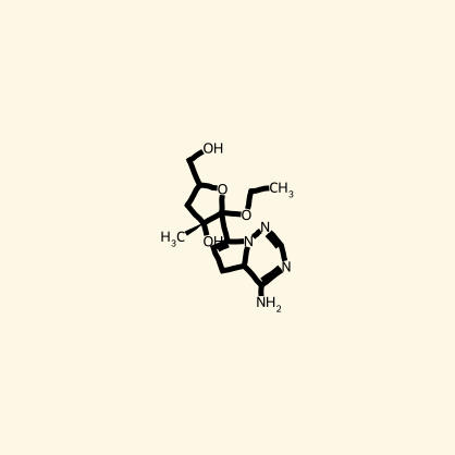 CCOC1(C2=CCC3C(N)=NC=NN23)OC(CO)C[C@@]1(C)O